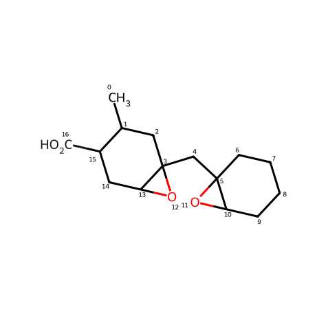 CC1CC2(CC34CCCCC3O4)OC2CC1C(=O)O